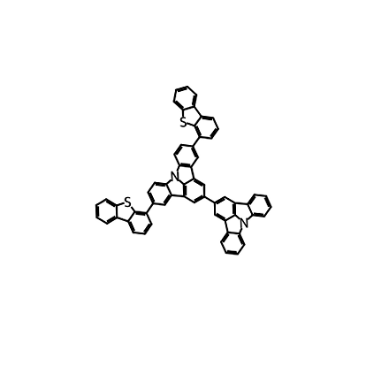 c1ccc2c(c1)sc1c(-c3ccc4c(c3)c3cc(-c5cc6c7ccccc7n7c8ccccc8c(c5)c67)cc5c6cc(-c7cccc8c7sc7ccccc78)ccc6n4c35)cccc12